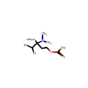 CCCCCC(CCOC(=S)S)(C(CC)CC)N(C)C